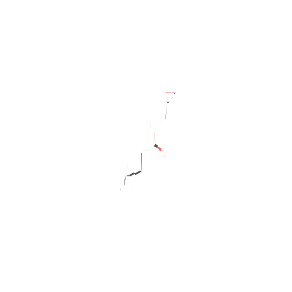 C/C=C/CC(=O)OCC1CO1